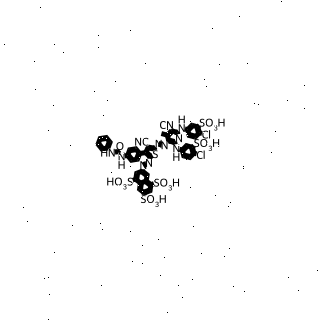 Cc1c(C#N)c(Nc2ccc(Cl)c(S(=O)(=O)O)c2)nc(Nc2ccc(Cl)c(S(=O)(=O)O)c2)c1N=Nc1sc(N=Nc2cc(S(=O)(=O)O)c3cc(S(=O)(=O)O)cc(S(=O)(=O)O)c3c2)c(-c2ccc(NC(=O)Nc3ccccc3)cc2)c1C#N